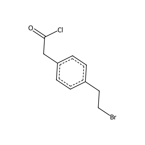 O=C(Cl)Cc1ccc(CCBr)cc1